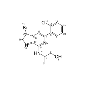 CC(CO)NC1=NC(c2ccccc2Cl)=CN2C1=NCC2Br